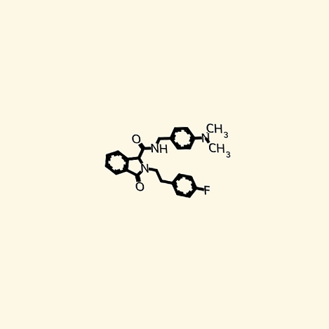 CN(C)c1ccc(CNC(=O)C2c3ccccc3C(=O)N2CCc2ccc(F)cc2)cc1